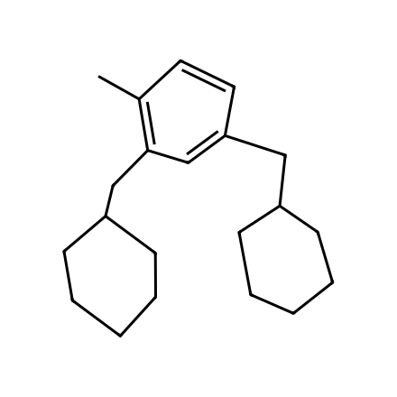 Cc1ccc(CC2CCCCC2)cc1CC1CCCCC1